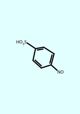 O=Nc1ccc(S(=O)(=O)O)cc1